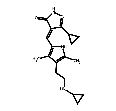 Cc1[nH]c(/C=C2/C(=O)NN=C2C2CC2)c(C)c1CCNC1CC1